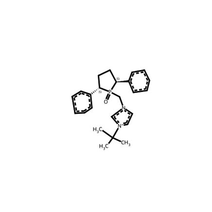 CC(C)(C)[n+]1ccn(CP2(=O)[C@H](c3ccccc3)CC[C@H]2c2ccccc2)c1